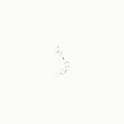 CN(CCO)c1ccc(OC2(C)C=CC(C#Cc3cc4cc(F)cnc4[nH]3)=CC2)cc1